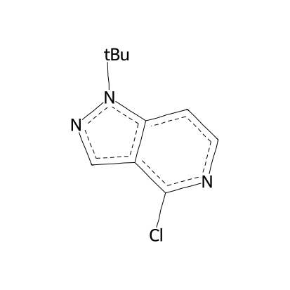 CC(C)(C)n1ncc2c(Cl)nccc21